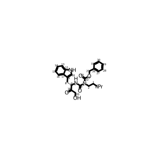 CC(C)CCN(C(=O)N[C@@H](Cc1c[nH]c2ccccc12)C(=O)CO)C(=O)OCc1ccccc1